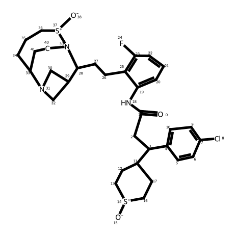 O=C(CC(c1ccc(Cl)cc1)C1CC[S+]([O-])CC1)Nc1cccc(F)c1CCC1C2CN(C2)C2CCC[S+]([O-])N1CC2